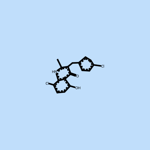 Cc1[nH]c2c(Cl)ccc(O)c2c(=O)c1Cc1ccc(Cl)cc1